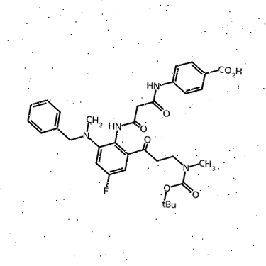 CN(CCC(=O)c1cc(F)cc(N(C)Cc2ccccc2)c1NC(=O)CC(=O)Nc1ccc(C(=O)O)cc1)C(=O)OC(C)(C)C